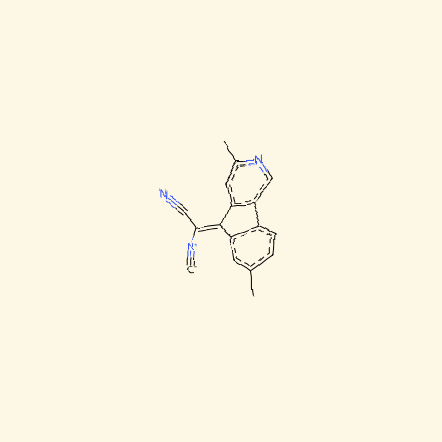 [C-]#[N+]/C(C#N)=C1\c2cc(C)ccc2-c2cnc(C)cc21